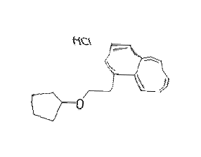 Cl.c1ccc2c(CCOC3CCCC3)cccc2c1